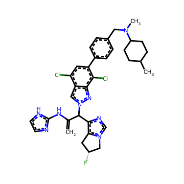 C=C(Nc1ncc[nH]1)C(c1ncn2c1C[C@@H](F)C2)n1cc2c(Cl)cc(-c3ccc(CN(C)C4CCC(C)CC4)cc3)c(Cl)c2n1